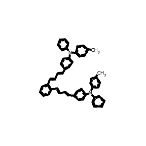 Cc1ccc(N(c2ccccc2)c2ccc(/C=C/C=C/c3ccccc3/C=C/C=C/c3ccc(N(c4ccccc4)c4ccc(C)cc4)cc3)cc2)cc1